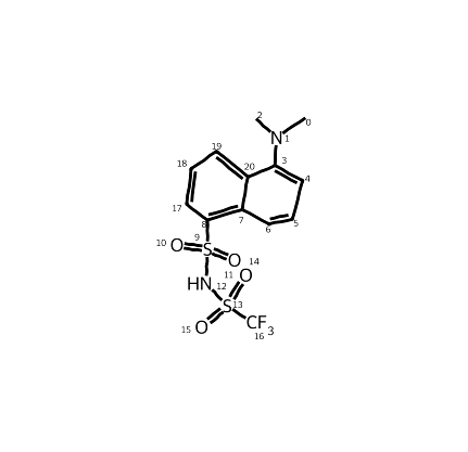 CN(C)c1cccc2c(S(=O)(=O)NS(=O)(=O)C(F)(F)F)cccc12